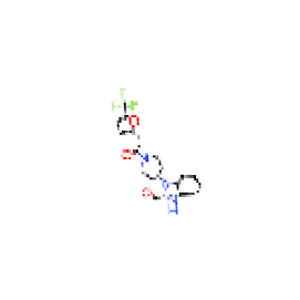 O=CC1Nc2ccccc2N1C1CCN(C(=O)Cc2ccc(C(F)(F)F)o2)CC1